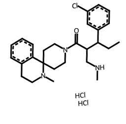 CCC(c1cccc(Cl)c1)C(CNC)C(=O)N1CCC2(CC1)c1ccccc1CCN2C.Cl.Cl